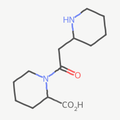 O=C(O)C1CCCCN1C(=O)CC1CCCCN1